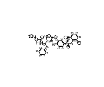 CC(C)(C)OC(=O)NC(Cc1ccccc1)C1COC(=O)[C@@H]1Cc1ccc(S(=O)(=O)Cc2c(Cl)cccc2Cl)cc1